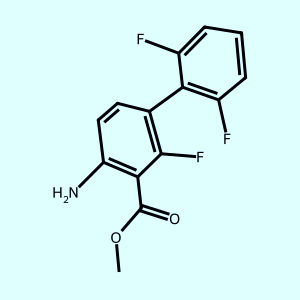 COC(=O)c1c(N)ccc(-c2c(F)cccc2F)c1F